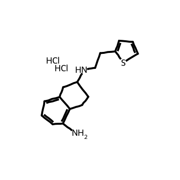 Cl.Cl.Nc1cccc2c1CCC(NCCc1cccs1)C2